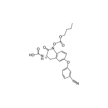 CCCCOC(=O)ON1C(=O)[C@@H](NC(=O)O)Cc2cc(Oc3cccc(C#N)c3)ccc21